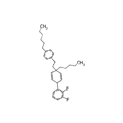 CCCCCCc1ccc(CCC2(CCCCC)C=CC(c3cccc(F)c3F)C=C2)cc1